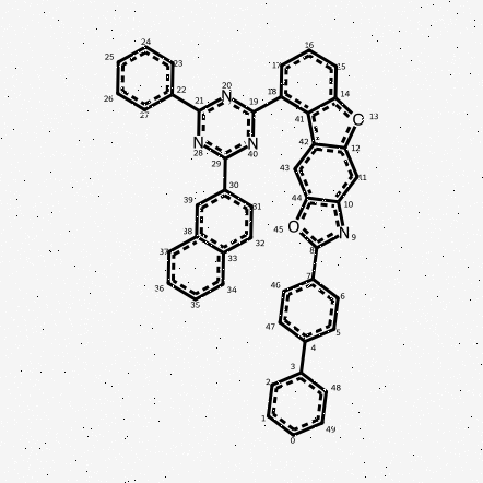 c1ccc(-c2ccc(-c3nc4cc5oc6cccc(-c7nc(-c8ccccc8)nc(-c8ccc9ccccc9c8)n7)c6c5cc4o3)cc2)cc1